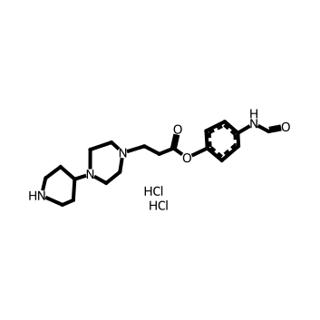 Cl.Cl.O=CNc1ccc(OC(=O)CCN2CCN(C3CCNCC3)CC2)cc1